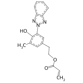 C=CC(=O)OCCc1cc(C)c(O)c(-n2nc3ccccc3n2)c1